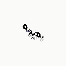 CN1/C(=N/C2CCCCC2)SCC1CC(=O)Nc1cc([N+](=O)[O-])ccc1F.Cl